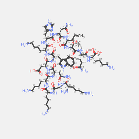 CC[C@H](C)[C@H](NC(=O)[C@H](CC(N)=O)NC(=O)[C@H](Cc1c[nH]cn1)NC(=O)[C@H](CCCCN)NC(=O)[C@H](Cc1c[nH]c2ccccc12)NC(=O)[C@H](CC(=O)O)NC(=O)[C@H](CC(N)=O)NC(=O)[C@H](CCCCN)NC(=O)[C@H](CCCCN)NC(=O)CNC(=O)[C@@H](N)CCCCN)C(=O)N[C@H](C(=O)N[C@@H](CCC(N)=O)C(=O)N[C@@H](CCCCN)C(=O)O)[C@@H](C)O